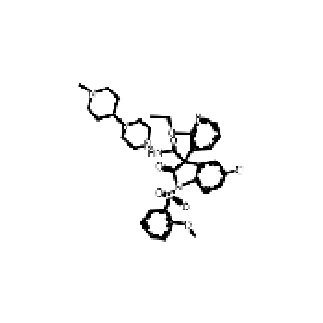 CCOc1ncccc1C1(C(=O)NN2CCN(C3CCN(C)CC3)CC2)C(=O)N(S(=O)(=O)c2ccccc2OC)c2ccc(Cl)cc21